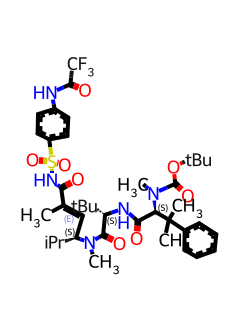 C/C(=C\[C@H](C(C)C)N(C)C(=O)[C@@H](NC(=O)[C@@H](N(C)C(=O)OC(C)(C)C)C(C)(C)c1ccccc1)C(C)(C)C)C(=O)NS(=O)(=O)c1ccc(NC(=O)C(F)(F)F)cc1